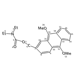 CCN(CC)C(=O)OCc1ccc2c(OC)c3ccccc3c(OC)c2c1